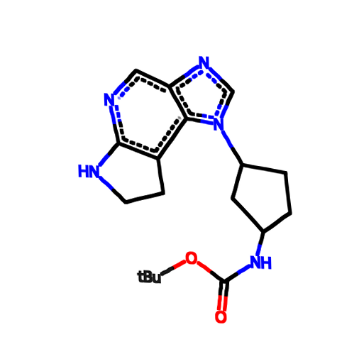 CC(C)(C)OC(=O)NC1CCC(n2cnc3cnc4c(c32)CCN4)C1